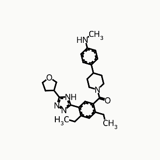 CCc1cc(CC)c(-c2nnc(C3CCOC3)[nH]2)cc1C(=O)N1CCC(c2ccc(NC)cc2)CC1